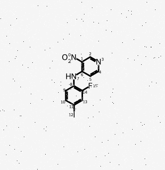 O=[N+]([O-])c1cnccc1Nc1ccc(I)cc1F